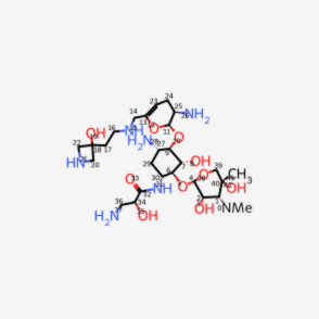 CN[C@@H]1[C@@H](O)[C@@H](O[C@@H]2[C@@H](O)[C@H](O[C@H]3OC(CNCCC4(O)CNC4)=CC[C@H]3N)[C@@H](N)C[C@H]2NC(=O)[C@@H](O)CN)OC[C@]1(C)O